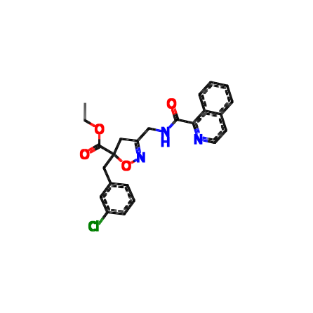 CCOC(=O)C1(Cc2cccc(Cl)c2)CC(CNC(=O)c2nccc3ccccc23)=NO1